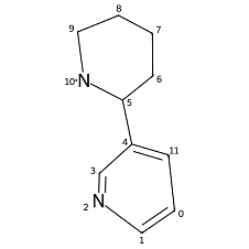 c1cncc(C2CCCC[N]2)c1